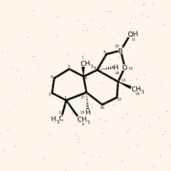 CC1(C)CCC[C@]2(C)[C@H]3CB(O)O[C@]3(C)CC[C@@H]12